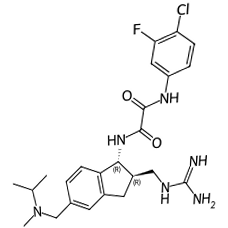 CC(C)N(C)Cc1ccc2c(c1)C[C@H](CNC(=N)N)[C@H]2NC(=O)C(=O)Nc1ccc(Cl)c(F)c1